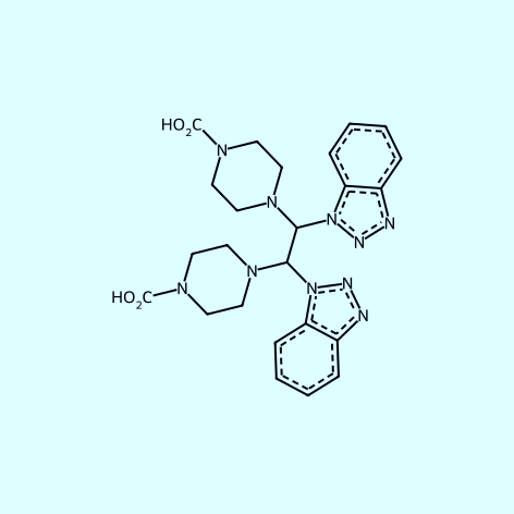 O=C(O)N1CCN(C(C(N2CCN(C(=O)O)CC2)n2nnc3ccccc32)n2nnc3ccccc32)CC1